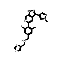 Cc1cc(CNCc2cocn2)cc(F)c1-c1cc2c(-c3cnn(C)c3)n[nH]c2cn1